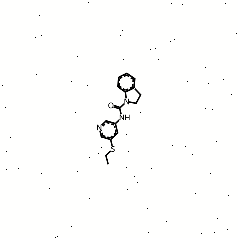 CCSc1cncc(NC(=O)N2CCc3ccccc32)c1